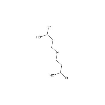 CCC(O)CC[N]CCC(O)CC